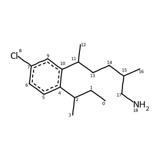 CCC(C)c1ccc(Cl)cc1C(C)CCC(C)CN